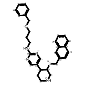 c1ccc(COCCCNc2ncc(C3CCNCC3OCc3ccc4ccccc4c3)cn2)cc1